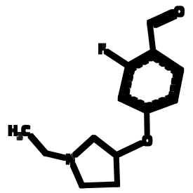 CCN1CCC(Oc2ccc(C=O)c(F)c2)C1